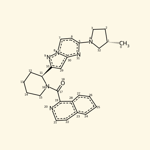 C[C@H]1CCN(c2ccn3nc([C@@H]4CCCCN4C(=O)c4nccc5ccccc45)cc3n2)C1